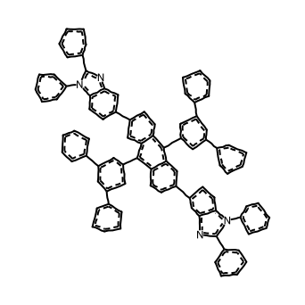 c1ccc(-c2cc(-c3ccccc3)cc(-c3c4ccc(-c5ccc6c(c5)nc(-c5ccccc5)n6-c5ccccc5)cc4c(-c4cc(-c5ccccc5)cc(-c5ccccc5)c4)c4ccc(-c5ccc6c(c5)nc(-c5ccccc5)n6-c5ccccc5)cc34)c2)cc1